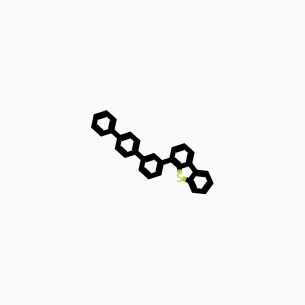 c1ccc(-c2ccc(-c3cccc(-c4cccc5c4sc4ccccc45)c3)cc2)cc1